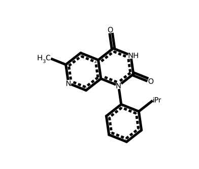 Cc1cc2c(=O)[nH]c(=O)n(-c3ccccc3C(C)C)c2cn1